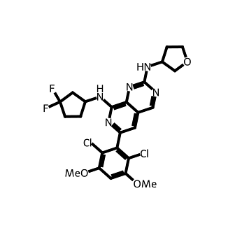 COc1cc(OC)c(Cl)c(-c2cc3cnc(NC4CCOC4)nc3c(NC3CCC(F)(F)C3)n2)c1Cl